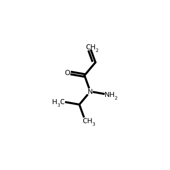 C=CC(=O)N(N)C(C)C